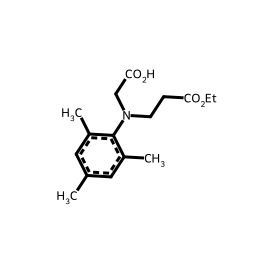 CCOC(=O)CCN(CC(=O)O)c1c(C)cc(C)cc1C